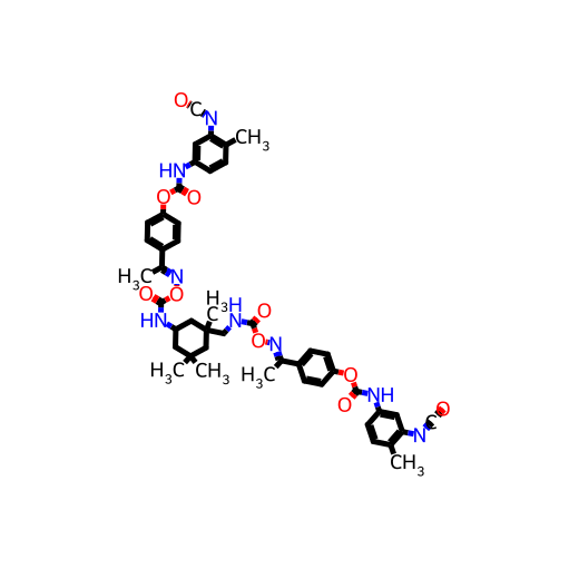 C/C(=N\OC(=O)NCC1(C)CC(NC(=O)O/N=C(\C)c2ccc(OC(=O)Nc3ccc(C)c(N=C=O)c3)cc2)CC(C)(C)C1)c1ccc(OC(=O)Nc2ccc(C)c(N=C=O)c2)cc1